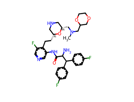 CN(CC1COCCO1)C[C@H]1CNC[C@@H](CCc2c(F)cncc2NC(=O)C(N)C(c2ccc(F)cc2)c2ccc(F)cc2)O1